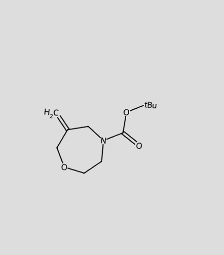 C=C1COCCN(C(=O)OC(C)(C)C)C1